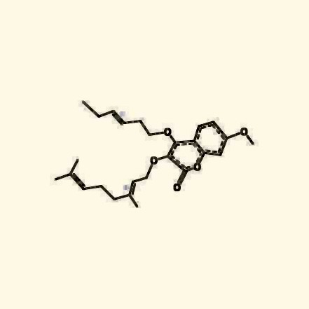 CC/C=C/CCOc1c(OC/C=C(\C)CCC=C(C)C)c(=O)oc2cc(OC)ccc12